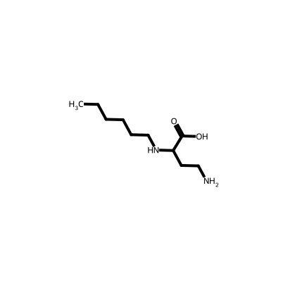 CCCCCCNC(CCN)C(=O)O